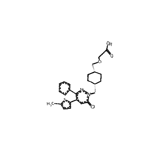 Cc1ccc(-c2cc(=O)n(C[C@H]3CC[C@@H](COCC(=O)O)CC3)nc2-c2ccccc2)s1